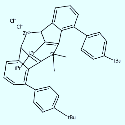 CC(C)C1=C2c3c(-c4ccc(C(C)(C)C)cc4)cccc3[CH]1[Zr+2][CH]1C(C(C)C)=C(c3c(-c4ccc(C(C)(C)C)cc4)cccc31)[Si]2(C)C.[Cl-].[Cl-]